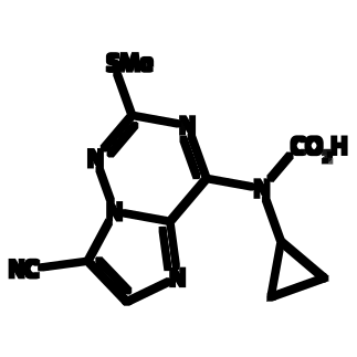 CSc1nc(N(C(=O)O)C2CC2)c2ncc(C#N)n2n1